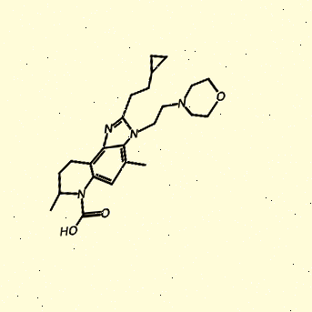 Cc1cc2c(c3nc(CCC4CC4)n(CCN4CCOCC4)c13)CCC(C)N2C(=O)O